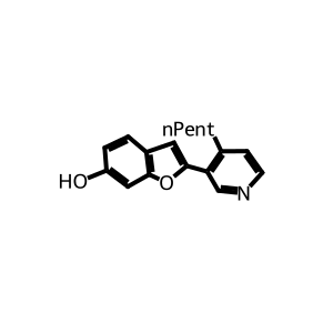 CCCCCc1ccncc1-c1cc2ccc(O)cc2o1